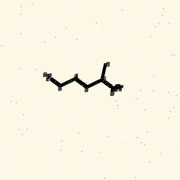 [CH2]CCC(C)CCCF